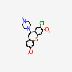 COc1ccc2c(c1)Sc1cc(OC)c(Cl)cc1C(N1CCN(C)CC1)=C2